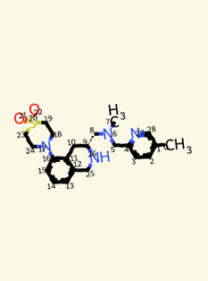 Cc1ccc(CN(C)C[C@H]2Cc3c(cccc3N3CCS(=O)(=O)CC3)CN2)nc1